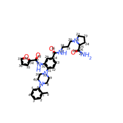 Cc1ccccc1N1CCN(c2ccc(C(=O)NCCCN3CCCC3C(N)=O)cc2NC(=O)c2ccco2)CC1